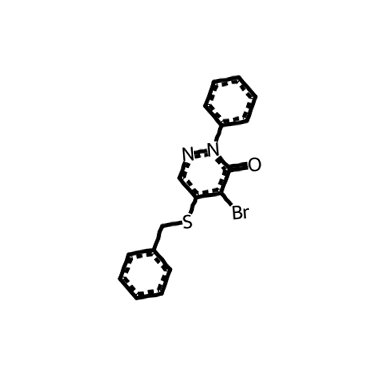 O=c1c(Br)c(SCc2ccccc2)cnn1-c1ccccc1